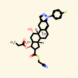 CCC(=O)O[C@@H]1C(C(=O)SCC#N)C[C@H]2C3CCC4=Cc5c(cnn5-c5ccc(F)cc5)C[C@]4(C)[C@H]3[C@@H](O)C[C@]12C